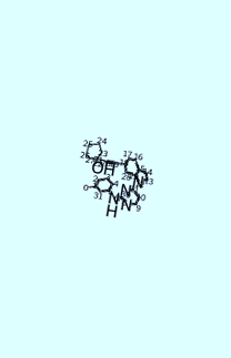 Cc1cccc(Nc2nccc(-n3ccc4ccc(C#CC5(O)CCCCC5)cc43)n2)c1